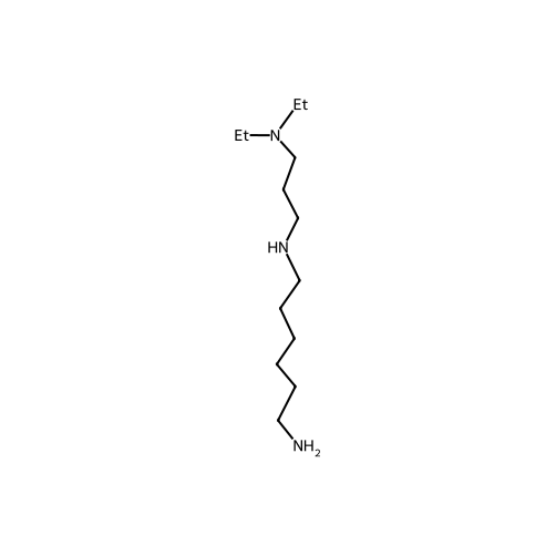 CCN(CC)CCCNCCCCCCN